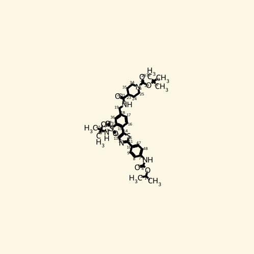 CC(C)OC(=O)Nc1ccc(-c2ncc(-c3ccc(CNC(=O)C4CCN(C(=O)OC(C)(C)C)CC4)cc3S(=O)(=O)NC(C)(C)C)s2)cc1